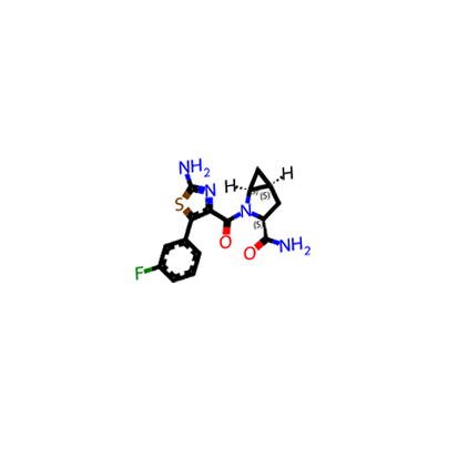 NC(=O)[C@@H]1C[C@@H]2C[C@@H]2N1C(=O)c1nc(N)sc1-c1cccc(F)c1